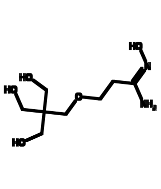 N/C(CCOCC(CO)(CO)CO)=N/O